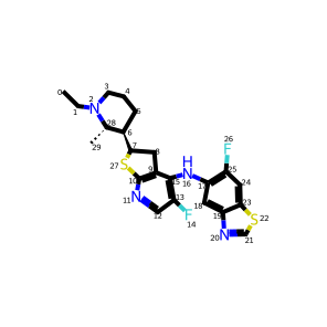 CCN1CCC[C@@H](C2Cc3c(ncc(F)c3Nc3cc4ncsc4cc3F)S2)[C@@H]1C